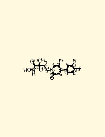 CC(C)(CCn1cc(F)c(-c2ccc(F)c(F)c2)cc1=O)C(=O)NO